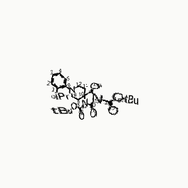 CC(C)c1ccccc1N1CCC2(CC1)C(=O)N(C(=O)OC(C)(C)C)C(=O)N2C(=O)OC(C)(C)C